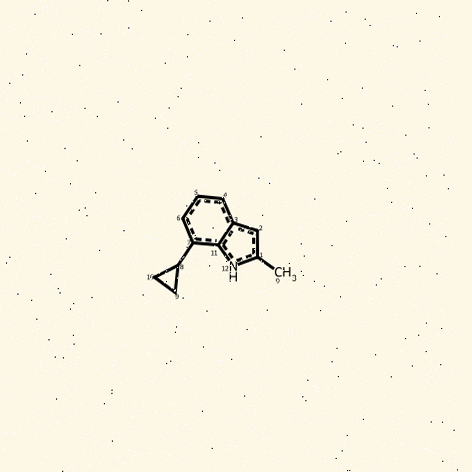 Cc1cc2cccc(C3CC3)c2[nH]1